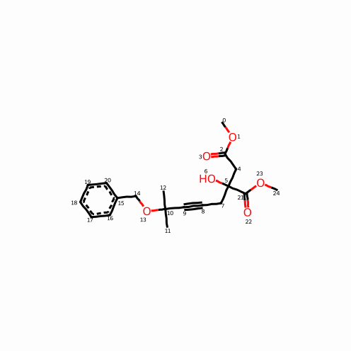 COC(=O)CC(O)(CC#CC(C)(C)OCc1ccccc1)C(=O)OC